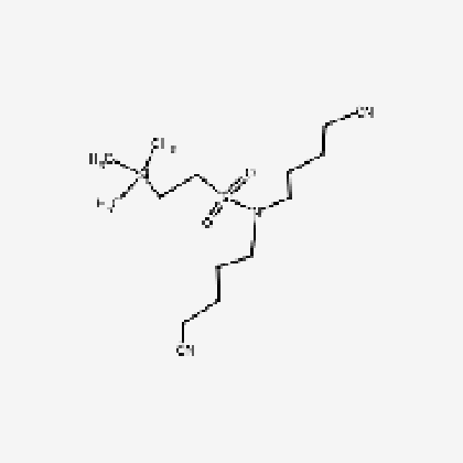 C[Si](C)(C)CCS(=O)(=O)N(CCCCC#N)CCCCC#N